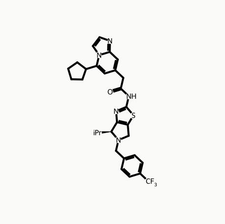 CC(C)[C@H]1c2nc(NC(=O)Cc3cc(C4CCCC4)n4ccnc4c3)sc2CN1Cc1ccc(C(F)(F)F)cc1